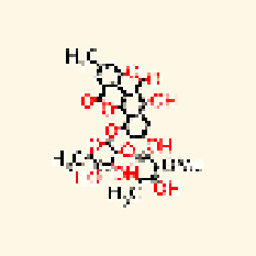 COC1[C@@H](O)C(C)O[C@H](OC2[C@H](Oc3cccc4c(O)c5c(=O)oc6cc(C)cc7c(=O)oc(c34)c5c67)OC(C)[C@H](O)[C@@H]2O)[C@@H]1O